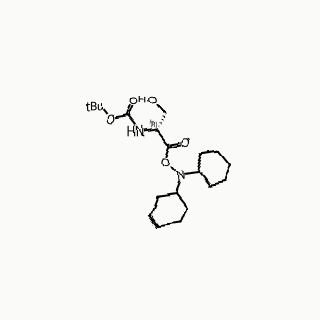 CC(C)(C)OC(=O)N[C@H](CO)C(=O)ON(C1CCCCC1)C1CCCCC1